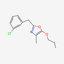 CCCOc1oc(Cc2cccc(Cl)c2)nc1C